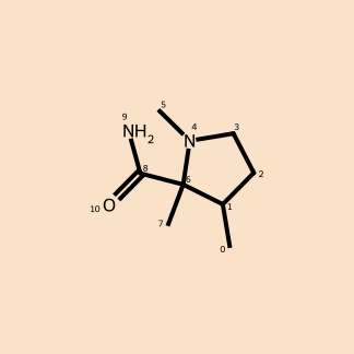 CC1CCN(C)C1(C)C(N)=O